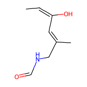 C/C=C(O)\C=C(/C)CNC=O